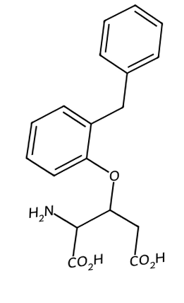 NC(C(=O)O)C(CC(=O)O)Oc1ccccc1Cc1ccccc1